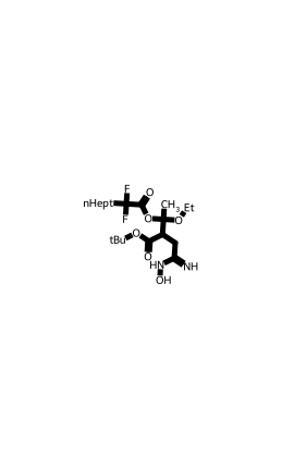 CCCCCCCC(F)(F)C(=O)OC(C)(OCC)C(CC(=N)NO)C(=O)OC(C)(C)C